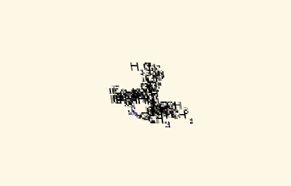 C[C@@H]1CC/C=C\C2C[C@@]2(C(=O)NS(=O)(=O)C2CC2)NC(=O)[C@@H]2C[C@@H](Oc3nccc4c5c(ccc34)N(C)CCO5)CN2C(=O)[C@@H](NC(=O)OC(C)(C)C(C)(F)F)[C@H](C)C1